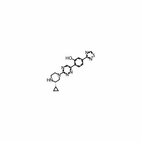 Oc1cc(-c2ncsn2)ccc1-c1cnc(N2CCN[C@@H](C3CC3)C2)nn1